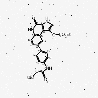 CCOC(=O)Oc1c[nH]c2c(=O)[nH]c3ccc(-c4ccc(NC(=O)OC(C)(C)C)cc4)cc3c12